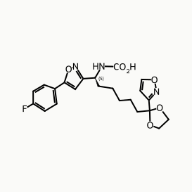 O=C(O)N[C@@H](CCCCCC1(c2ccon2)OCCO1)c1cc(-c2ccc(F)cc2)on1